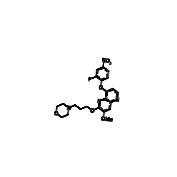 COc1cc2nccc(Oc3ccc([N+](=O)[O-])cc3F)c2nc1OCCCN1CCOCC1